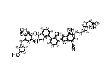 COc1nc(O[C@H]2CCc3c(-c4cccc(-c5cc6c(=N)n(CCN7CC8(CCC(=O)N8)C7)cc(C#N)c6o5)c4C)cccc32)c(Cl)cc1CN1CC[C@@H](O)C1